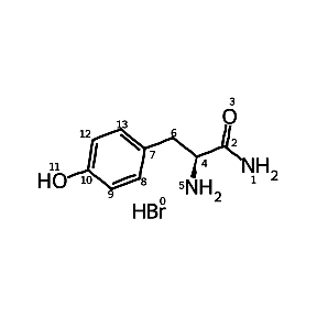 Br.NC(=O)[C@@H](N)Cc1ccc(O)cc1